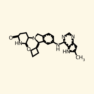 Cc1cc2ncnc(Nc3ccc4c(c3)C(=C3CCC3)N(C3CCC(=O)NC3=O)C4)c2[nH]1